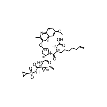 C=CCCCCC[C@H](NC(=O)O)C(=O)N1C[C@H](Oc2nc3cc(OC)ccc3nc2C)C[C@H]1C(=O)N[C@]1(C(=O)NS(=O)(=O)C2CC2)C[C@H]1C=C